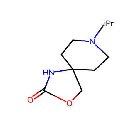 CC(C)N1CCC2(CC1)COC(=O)N2